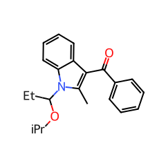 CCC(OC(C)C)n1c(C)c(C(=O)c2ccccc2)c2ccccc21